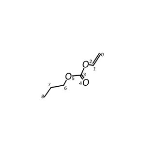 C=COC(=O)OCCC